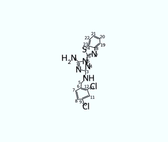 Nc1nc(NCc2ccc(Cl)cc2Cl)nn1-c1nc2ccccc2s1